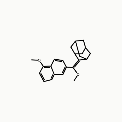 COC(=C1C2CC3CC(C2)CC1C3)c1ccc2c(OC)cccc2c1